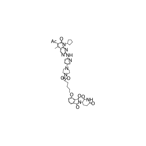 CC(=O)c1c(C)c2cnc(Nc3ccc(N4CCN(S(=O)(=O)CCCCCOc5cccc6c5C(=O)N(C5CCC(=O)NC5=O)C6=O)CC4)cn3)nc2n(C2CCCC2)c1=O